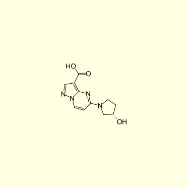 O=C(O)c1cnn2ccc(N3CC[C@H](O)C3)nc12